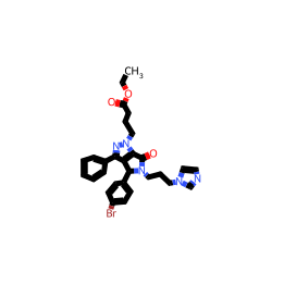 CCOC(=O)CCCn1nc(-c2ccccc2)c2c1C(=O)N(CCCn1ccnc1)C2c1ccc(Br)cc1